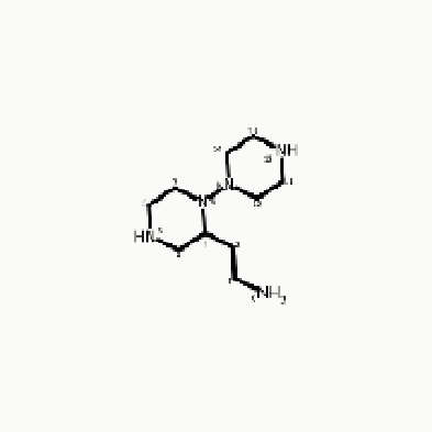 NCCC1CNCCN1N1CCNCC1